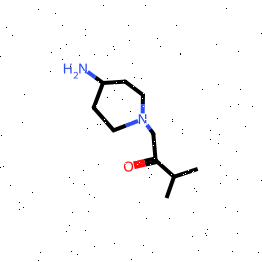 CC(C)C(=O)CN1CCC(N)CC1